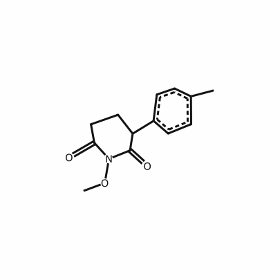 CON1C(=O)CCC(c2ccc(C)cc2)C1=O